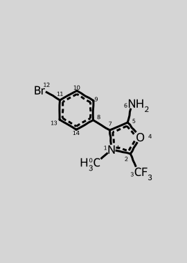 C[n+]1c(C(F)(F)F)oc(N)c1-c1ccc(Br)cc1